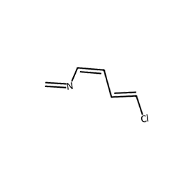 C=N/C=C\C=C\Cl